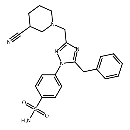 N#CC1CCCN(Cc2nc(Cc3ccccc3)n(-c3ccc(S(N)(=O)=O)cc3)n2)C1